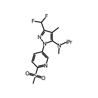 Cc1c(C(F)F)nn(-c2ccc(S(C)(=O)=O)nc2)c1N(C)C(C)C